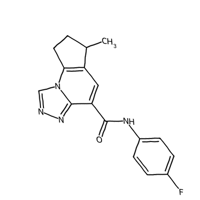 CC1CCc2c1cc(C(=O)Nc1ccc(F)cc1)c1nncn21